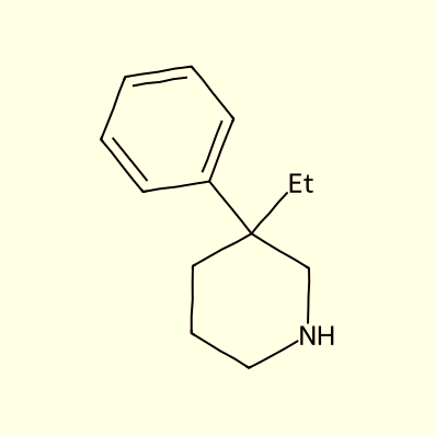 CCC1(c2ccccc2)CCCNC1